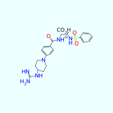 N=C(N)NC1CCN(c2ccc(C(=O)NC[C@H](NS(=O)(=O)c3ccccc3)C(=O)O)cc2)CC1